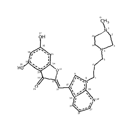 CN1CCN(CCCn2cc(C=C3Oc4cc(O)cc(O)c4C3=O)c3cccnc32)CC1